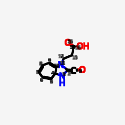 O=C=C1NC2C=CC=CC=C2N1CCC(=O)O